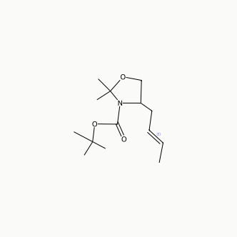 C/C=C/CC1COC(C)(C)N1C(=O)OC(C)(C)C